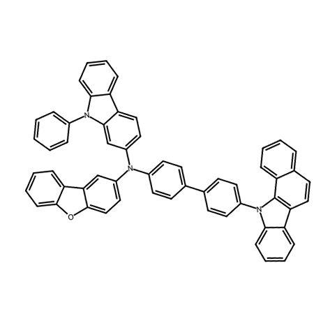 c1ccc(-n2c3ccccc3c3ccc(N(c4ccc(-c5ccc(-n6c7ccccc7c7ccc8ccccc8c76)cc5)cc4)c4ccc5oc6ccccc6c5c4)cc32)cc1